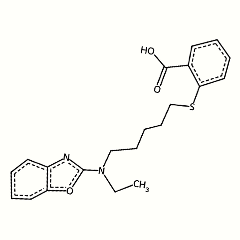 CCN(CCCCCSc1ccccc1C(=O)O)c1nc2ccccc2o1